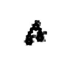 CCN1C(=CC=CC2=CC(=Cc3sc4ccccc4[n+]3CC)CC(C)C2)Sc2ccccc21.[I-]